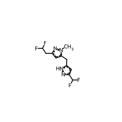 Cn1nc(CC(F)F)cc1Cc1cc(C(F)F)n[nH]1